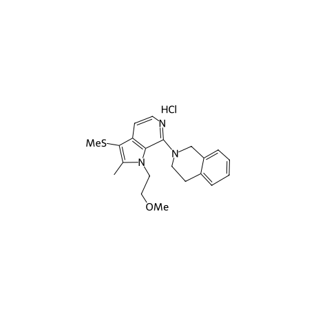 COCCn1c(C)c(SC)c2ccnc(N3CCc4ccccc4C3)c21.Cl